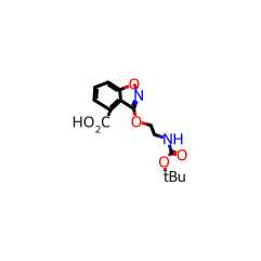 CC(C)(C)OC(=O)NCCOc1noc2cccc(C(=O)O)c12